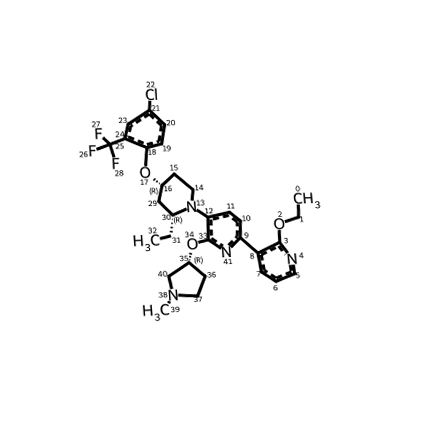 CCOc1ncccc1-c1ccc(N2CC[C@@H](Oc3ccc(Cl)cc3C(F)(F)F)C[C@H]2CC)c(O[C@@H]2CCN(C)C2)n1